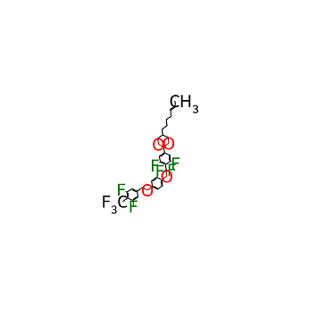 C/C=C/CCCCC1COC(c2cc(F)c(C(F)(F)Oc3ccc(OCc4cc(F)c(C(F)(F)F)c(F)c4)cc3)c(F)c2)OC1